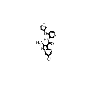 Nc1nn2cc(Cl)cnc2c1C(=O)Nc1cnccc1O[C@H]1CCOC1